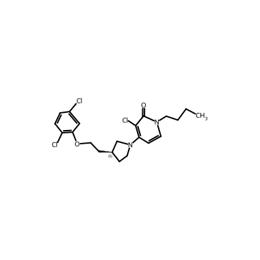 CCCCn1ccc(N2CC[C@@H](CCOc3cc(Cl)ccc3Cl)C2)c(Cl)c1=O